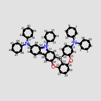 c1ccc(N(c2ccccc2)c2ccc3c(c2)Oc2cccc4c2B3c2cc3c(cc2O4)c2ccc(N(c4ccccc4)c4ccccc4)cc2n3-c2ccccc2)cc1